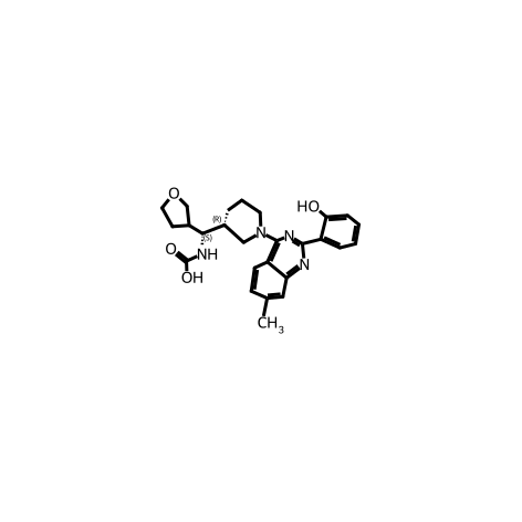 Cc1ccc2c(N3CCC[C@@H]([C@H](NC(=O)O)C4CCOC4)C3)nc(-c3ccccc3O)nc2c1